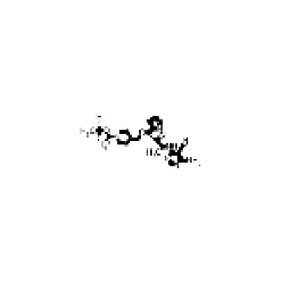 C[C@H](Nc1ncnc(N)c1C#N)c1nc(OCC2CCN(C(=O)OC(C)(C)C)CC2)c2cccn2n1